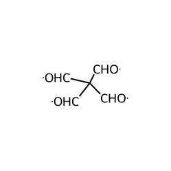 O=[C]C([C]=O)([C]=O)[C]=O